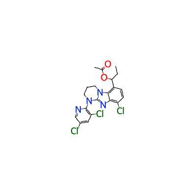 CCC(OC(C)=O)c1ccc(Cl)c2nc3n(c12)CCCN3c1ncc(Cl)cc1Cl